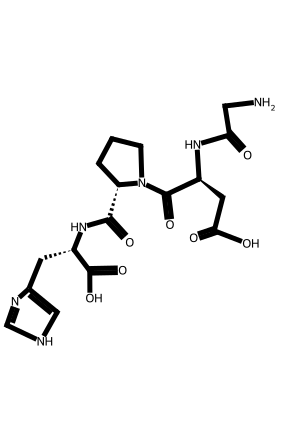 NCC(=O)N[C@@H](CC(=O)O)C(=O)N1CCC[C@H]1C(=O)N[C@@H](Cc1c[nH]cn1)C(=O)O